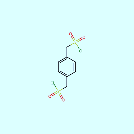 O=S(=O)(Cl)Cc1ccc(CS(=O)(=O)Cl)cc1